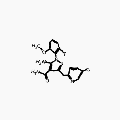 COc1cccc(F)c1-n1nc(Cc2ccc(Cl)cn2)c(C(N)=O)c1N